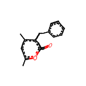 Cc1cc(C)c(Cc2ccccc2)c(=O)o1